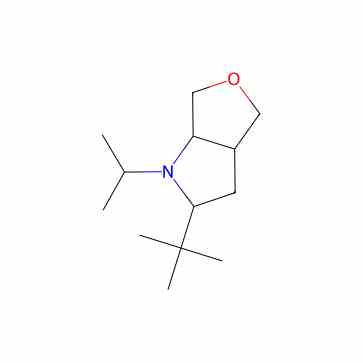 CC(C)N1C2COCC2CC1C(C)(C)C